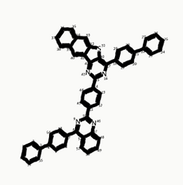 c1ccc(-c2ccc(-c3nc(-c4ccc(-c5nc(-c6ccc(-c7ccccc7)cc6)c6sc7cc8ccccc8cc7c6n5)cc4)nc4ccccc34)cc2)cc1